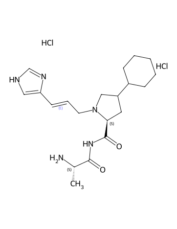 C[C@H](N)C(=O)NC(=O)[C@@H]1CC(C2CCCCC2)CN1C/C=C/c1c[nH]cn1.Cl.Cl